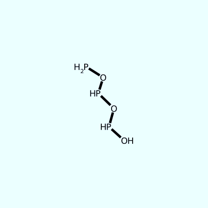 OPOPOP